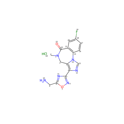 CN1Cc2c(-c3noc(CN)n3)ncn2-c2ccc(F)cc2C1=O.Cl